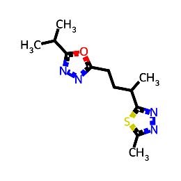 Cc1nnc(C(C)CCc2nnc(C(C)C)o2)s1